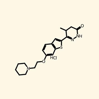 CC1CC(=O)NN=C1c1cc2ccc(OCCN3CCCCC3)cc2s1.Cl